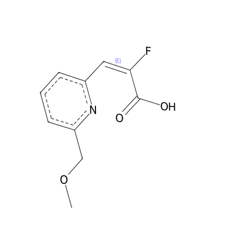 COCc1cccc(/C=C(/F)C(=O)O)n1